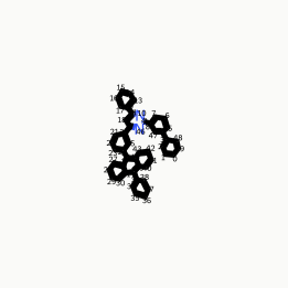 c1ccc(-c2cccc(-c3nc(-c4ccccc4)cc(-c4cccc(-c5c6ccccc6c(-c6ccccc6)c6ccccc56)c4)n3)c2)cc1